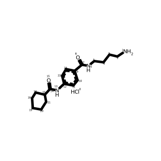 Cl.NCCCCNC(=O)c1ccc(NC(=O)C2CCCCC2)cc1